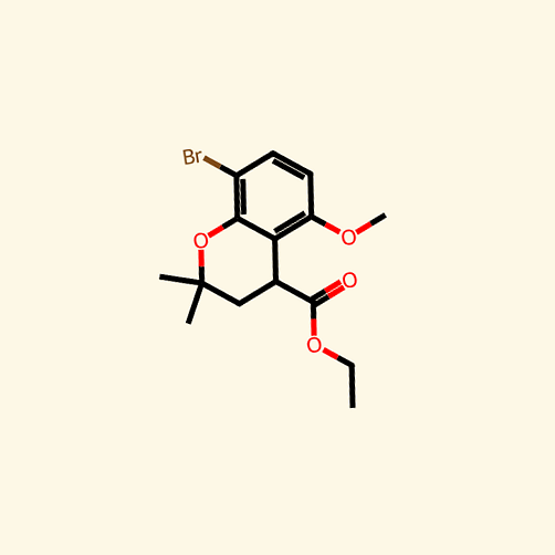 CCOC(=O)C1CC(C)(C)Oc2c(Br)ccc(OC)c21